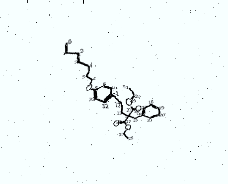 CCCCCCCOc1ccc(CCC(Cc2ccccc2)(C(=O)OCC)C(=O)OCC)cc1